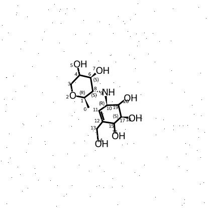 C[C@H]1OCC(O)[C@@H](O)[C@@H]1N[C@@H]1C=C(CO)C(O)[C@H](O)C1O